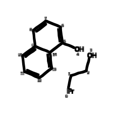 CC(C)CCO.Oc1cccc2ccccc12